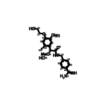 CCOc1cc([C@H](OC)C(=O)NCc2ccc(C(=N)N)cc2)c(F)cc1OCCO.Cl